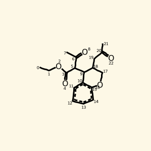 CCOC(=O)C(C(C)=O)C1c2ccccc2OCC1CC(C)=O